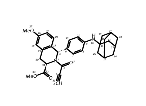 C#CC(=O)N1[C@@H](c2ccc(NC34CC5CC(CC(C5)C3)C4)cc2)c2ccc(OC)cc2C[C@@H]1C(=O)OC